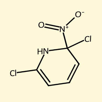 O=[N+]([O-])C1(Cl)C=CC=C(Cl)N1